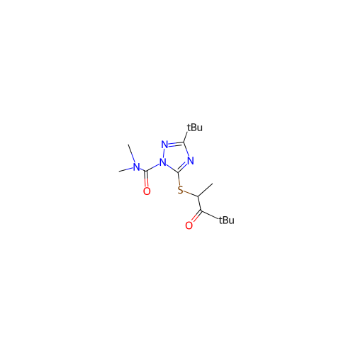 CC(Sc1nc(C(C)(C)C)nn1C(=O)N(C)C)C(=O)C(C)(C)C